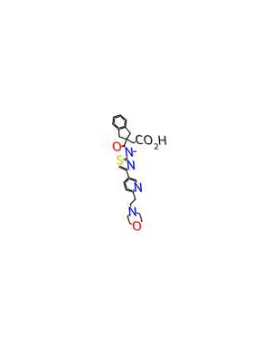 CN(C(=O)C1(CC(=O)O)Cc2ccccc2C1)c1nc(-c2ccc(CCN3CCOCC3)nc2)cs1